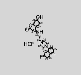 Cl.O=c1cc(NCCCN2CCN(c3nccc4ccc(F)cc34)CC2)c2ccc(O)cc2o1